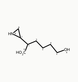 O=C(O)C(CCCCO)C1CN1